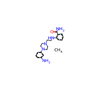 C.NC(=O)c1ccccc1NCCN1CCN(c2cccc(N)c2)CC1